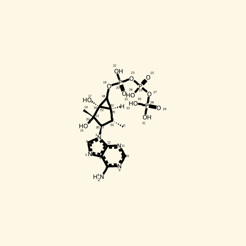 C[C@@H]1[C@@H](n2cnc3c(N)ncnc32)[C@](C)(O)[C@@]2(O)C(OP(=O)(O)OP(=O)(O)OP(=O)(O)O)[C@@H]12